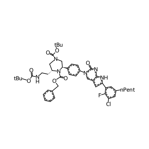 CCCCCc1cc(Cl)c(F)c(-c2cc3cn(-c4ccc([C@@H]5CN(C(=O)OC(C)(C)C)C[C@@H](CCNC(=O)OC(C)(C)C)N5C(=O)OCc5ccccc5)cc4)c(=O)nc3[nH]2)c1